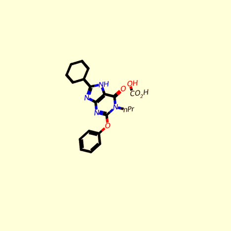 CCCn1c(Oc2ccccc2)nc2nc(C3CCCCC3)[nH]c2c1=O.O=C(O)O